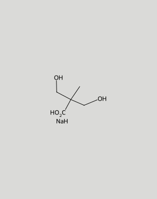 CC(CO)(CO)C(=O)O.[NaH]